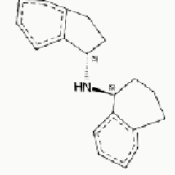 c1ccc2c(c1)CCC[C@@H]2N[C@H]1CCc2ccccc21